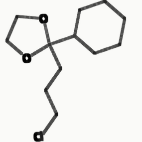 ClCCCC1(C2CCCCC2)OCCO1